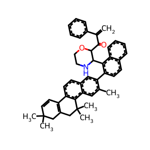 C=C(C(=O)C1OCCNC1c1c(-c2cc3ccc4c(c3cc2C)C(C)(C)CC2=C4C=CC(C)(C)C2)ccc2ccccc12)c1ccccc1